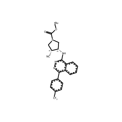 CC(C)(C)OC(=O)N1C[C@@H](C#N)[C@@H](Nc2nnc(-c3ccc(C(F)(F)F)cc3)c3ccccc23)C1